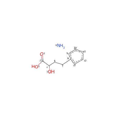 N.O=C(O)C(O)CCc1ccccc1